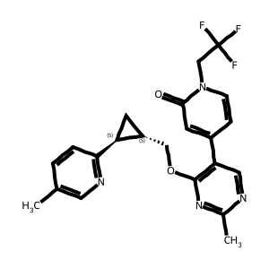 Cc1ccc([C@H]2C[C@@H]2COc2nc(C)ncc2-c2ccn(CC(F)(F)F)c(=O)c2)nc1